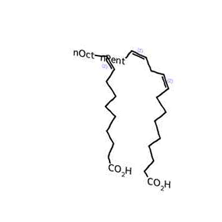 CCCCC/C=C\C/C=C\CCCCCCCC(=O)O.CCCCCCCC/C=C\CCCCCCCC(=O)O